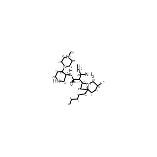 CCCCCC12CCC(F)CN1C(C(C(=O)NC1CNCCC1N1CCN(C)CC1)C(N)N)C2